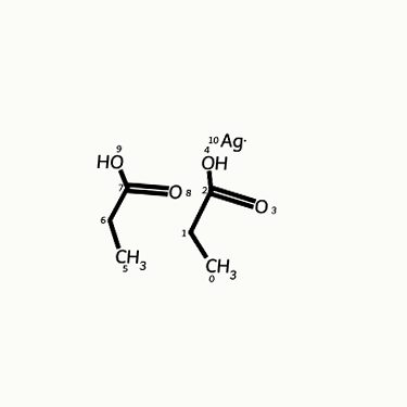 CCC(=O)O.CCC(=O)O.[Ag]